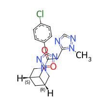 Cn1ncnc1CC(=O)N1C[C@H]2C[C@@H](C1)C2c1nc(-c2ccc(Cl)cc2)no1